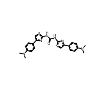 CN(C)c1ccc(-c2csc(NC(=O)Nc3nc(-c4ccc(N(C)C)cc4)cs3)n2)cc1